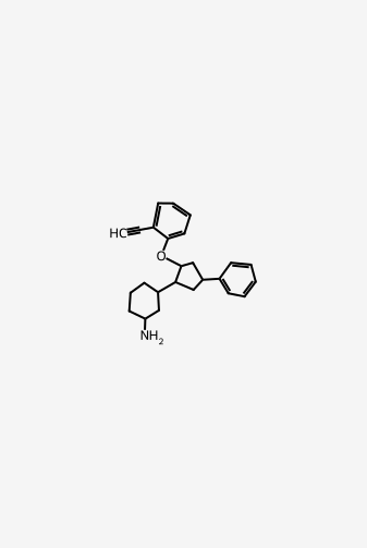 C#Cc1ccccc1OC1CC(c2ccccc2)CC1C1CCCC(N)C1